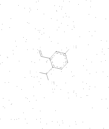 Cc1ccc(C(C)C)c(C=O)c1